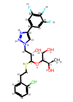 C[C@@H](O)C(CO)OC(SCCc1ccccc1Cl)[C@@H](O)Cn1cc(-c2cc(F)c(F)c(F)c2)nn1